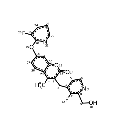 Cc1c(Cc2ccnc(CO)c2F)c(=O)oc2cc(Oc3ncccc3F)ccc12